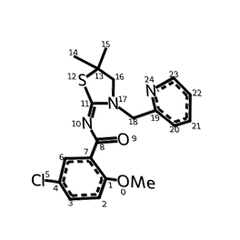 COc1ccc(Cl)cc1C(=O)N=C1SC(C)(C)CN1Cc1ccccn1